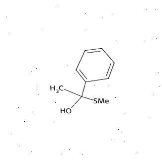 CSC(C)(O)c1ccccc1